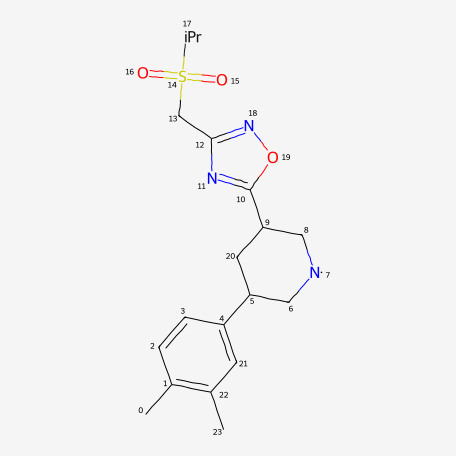 Cc1ccc(C2C[N]CC(c3nc(CS(=O)(=O)C(C)C)no3)C2)cc1C